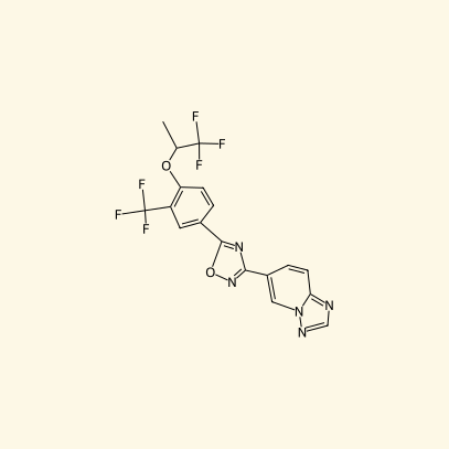 CC(Oc1ccc(-c2nc(-c3ccc4ncnn4c3)no2)cc1C(F)(F)F)C(F)(F)F